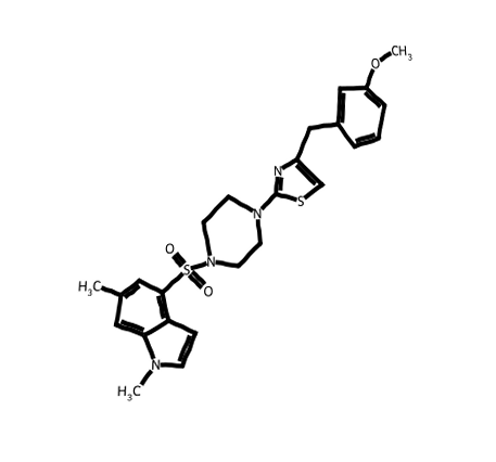 COc1cccc(Cc2csc(N3CCN(S(=O)(=O)c4cc(C)cc5c4ccn5C)CC3)n2)c1